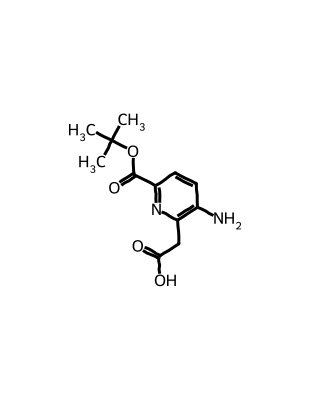 CC(C)(C)OC(=O)c1ccc(N)c(CC(=O)O)n1